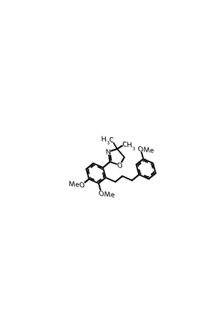 COc1cccc(CCCc2c(C3=NC(C)(C)CO3)ccc(OC)c2OC)c1